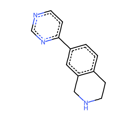 c1cc(-c2ccc3c(c2)CNCC3)ncn1